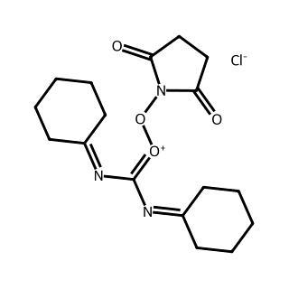 O=C1CCC(=O)N1O[O+]=C(N=C1CCCCC1)N=C1CCCCC1.[Cl-]